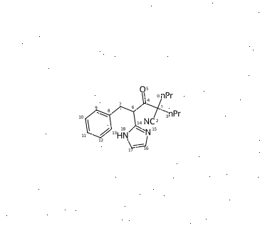 CCCC(C#N)(CCC)C(=O)C(Cc1ccccc1)c1ncc[nH]1